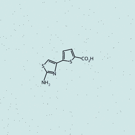 Nc1nc(-c2ccc(C(=O)O)s2)cs1